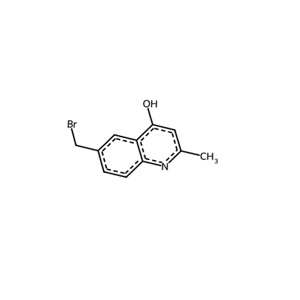 Cc1cc(O)c2cc(CBr)ccc2n1